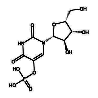 O=c1[nH]c(=O)n([C@@H]2O[C@H](CO)[C@H](O)[C@H]2O)cc1OP(=O)(O)O